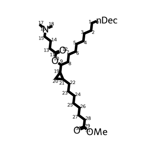 CCCCCCCCCCCCCCCCCCC(OC(=O)CCCN(C)C)C1CC1CCCCCCCC(=O)OC